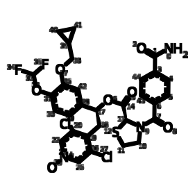 NC(=O)c1ccc(C(=O)N2CCS[C@H]2C(=O)O[C@@H](Cc2c(Cl)c[n+]([O-])cc2Cl)c2ccc(OC(F)F)c(OCC3CC3)c2)cc1